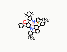 CC(C)(C)c1ccc(N2B3c4c(cc5c(oc6ccccc65)c4-c4cc5c(cc42)C(C)(C)CCC5(C)C)N(c2ccc(C(C)(C)C)cc2-c2ccccc2)c2ccc4c(sc5ccccc54)c23)cc1